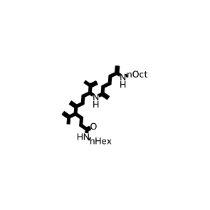 C=C(CCCC(=C)NC(CCC(=C)C(CCC(=O)NCCCCCC)C(=C)C)C(=C)C)NCCCCCCCC